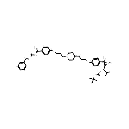 CC(C)[C@H](NC(=O)OC(C)(C)C)C1N(O)C1(N)c1ccc(OCCCC2CCN(CCCOc3ccc(C(N)=NC(=O)OCc4ccccc4)cc3)CC2)cc1